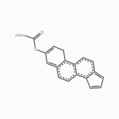 CCCCCCC(=O)OC1=CCc2c(ccc3c4c(ccc23)=CC=C4)=C1